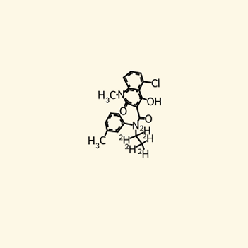 [2H]C([2H])([2H])C([2H])([2H])N(C(=O)c1c(O)c2c(Cl)cccc2n(C)c1=O)c1cccc(C)c1